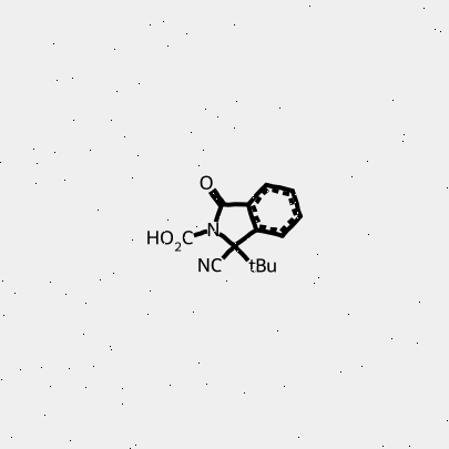 CC(C)(C)C1(C#N)c2ccccc2C(=O)N1C(=O)O